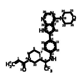 C=CC(=O)N1CCC[C@H]([C@@H](Nc2ccc(-c3cc4c(N5CCOCC5)ncnc4[nH]3)cc2)C(F)(F)F)C1